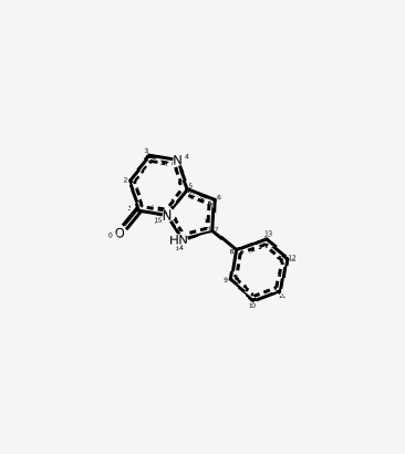 O=c1ccnc2cc(-c3ccccc3)[nH]n12